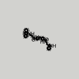 O=C(NCCc1c[nH]c2ccccc12)c1ccc(CN2CC[C@H](C(=O)NCCCNc3c4c(nc5ccccc35)CCCC4)C2)cc1